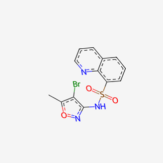 Cc1onc(NS(=O)(=O)c2cccc3cccnc23)c1Br